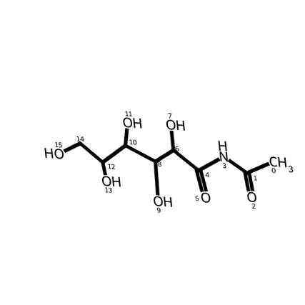 CC(=O)NC(=O)C(O)C(O)C(O)C(O)CO